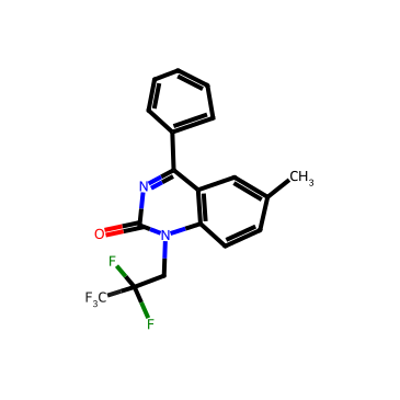 Cc1ccc2c(c1)c(-c1ccccc1)nc(=O)n2CC(F)(F)C(F)(F)F